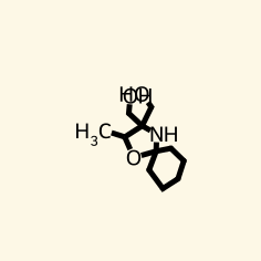 CC1OC2(CCCCC2)NC1(CO)CO